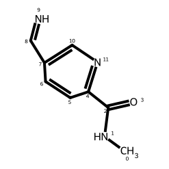 CNC(=O)c1ccc(C=N)cn1